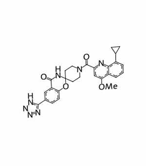 COc1cc(C(=O)N2CCC3(CC2)NC(=O)c2cc(-c4nnn[nH]4)ccc2O3)nc2c(C3CC3)cccc12